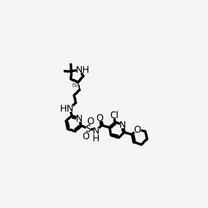 CC1(C)C[C@H](CCCNc2cccc(S(=O)(=O)NC(=O)c3ccc(C4=CCCCO4)nc3Cl)n2)CN1